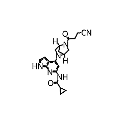 N#CCCC(=O)N1C[C@H]2C[C@@H]1CN2c1cc(NC(=O)C2CC2)nc2[nH]ccc12